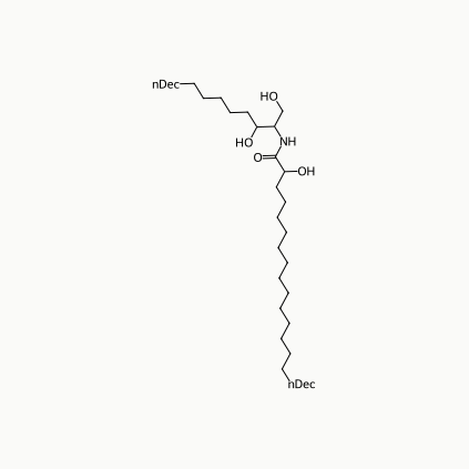 CCCCCCCCCCCCCCCCCCCCCCCC(O)C(=O)NC(CO)C(O)CCCCCCCCCCCCCCC